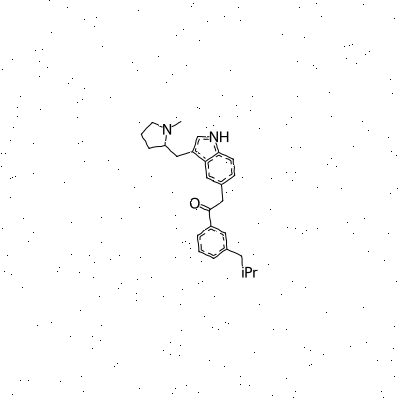 CC(C)Cc1cccc(C(=O)Cc2ccc3[nH]cc(CC4CCCN4C)c3c2)c1